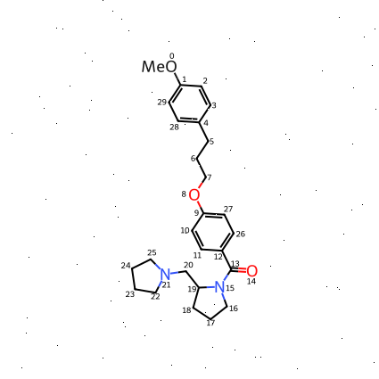 COc1ccc(CCCOc2ccc(C(=O)N3CCCC3CN3CCCC3)cc2)cc1